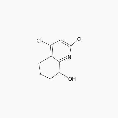 OC1CCCc2c(Cl)cc(Cl)nc21